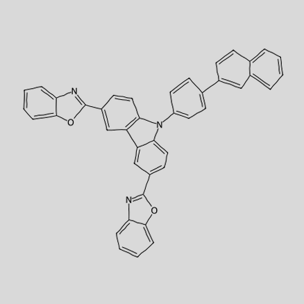 c1ccc2cc(-c3ccc(-n4c5ccc(-c6nc7ccccc7o6)cc5c5cc(-c6nc7ccccc7o6)ccc54)cc3)ccc2c1